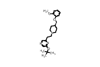 COc1ccccc1OCC1CCN(CCc2cncc(OC(C)(C)C)n2)CC1